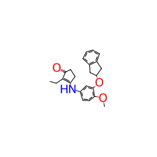 CCC1=C(Nc2ccc(OC)c(OC3Cc4ccccc4C3)c2)CCC1=O